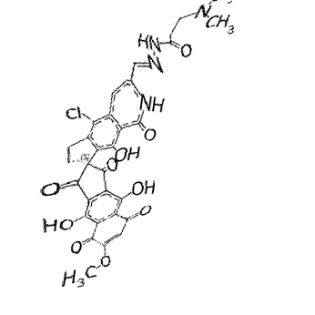 COC1=CC(=O)c2c(O)c3c(c(O)c2C1=O)C(=O)[C@]1(CCc2c1c(O)c1c(=O)[nH]c(C=NNC(=O)CN(C)C)cc1c2Cl)C3=O